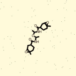 CC(NC(=O)C1CCC2(C)OC2C1)OC(C)NC(=O)C1CCC2(C)OC2C1